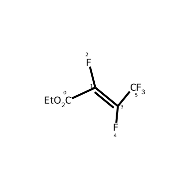 CCOC(=O)C(F)=C(F)C(F)(F)F